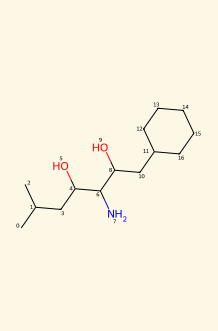 CC(C)CC(O)C(N)C(O)CC1CCCCC1